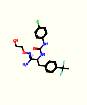 CC(F)(F)c1ccc(CC(NC(=O)Nc2ccc(Cl)cc2)/C(N)=N/OCCO)cc1